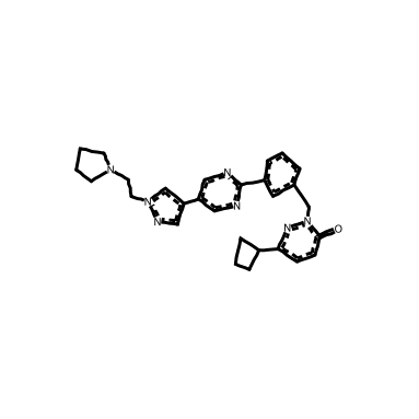 O=c1ccc(C2CCC2)nn1Cc1cccc(-c2ncc(-c3cnn(CCN4CCCC4)c3)cn2)c1